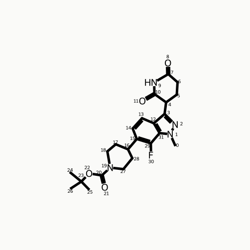 Cn1nc(C2CCC(=O)NC2=O)c2ccc(C3CCN(C(=O)OC(C)(C)C)CC3)c(F)c21